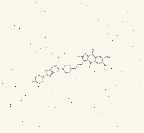 CCNc1cc2c(cc1[N+](=O)[O-])C(=O)c1n[n+](C)n(CCCN3CCN(c4ccc5nc(N6CCNCC6)sc5c4)CC3)c1C2=O